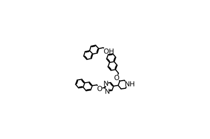 OCc1ccc2ccccc2c1.c1ccc2cc(COc3ncc(C4CCNCC4OCc4ccc5ccccc5c4)cn3)ccc2c1